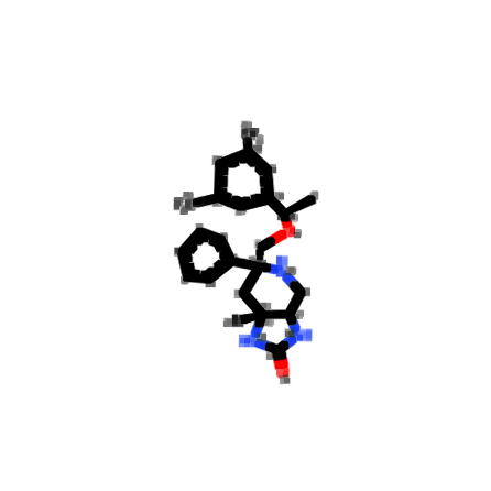 C[C@@H](OC[C@@]1(c2ccccc2)C[C@H]2NC(=O)NC2CN1)c1cc(C(F)(F)F)cc(C(F)(F)F)c1